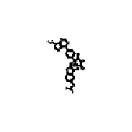 Cn1cnc2c(-c3ccc([C@]4(CN5Cc6ccc(OC(F)F)cc6C5=O)NC(=O)NC4=O)cc3)ncnc21